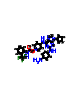 N[C@H]1CC[C@H](Nc2nc(NC3CCN(OC(=O)Nc4ccccc4C(F)(F)F)CC3)c3ncn(C4CCCC4)c3n2)CC1